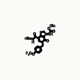 CCCCNC(=O)C1=CC(Cc2ccc(OC(F)(F)F)cc2)C(=O)C2=C1SCN2NC(=O)OC(C)(C)C